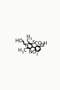 CC1=C(SC(=O)O)C(c2cccc(Cl)c2)C([N+](=O)[O-])=C(C)N1CCO